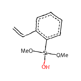 C=Cc1ccccc1[Si](O)(OC)OC